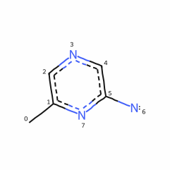 Cc1cncc([N])n1